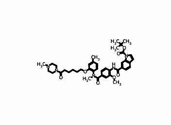 COc1cc(C(=O)N(C)c2ccc(C)cc2OCCCCCC(=O)N2CCN(C)CC2)ccc1NC(=O)c1ccc2ccn(C(=O)OC(C)(C)C)c2c1